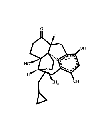 C[N@+]1(CC2CC2)C[C@@H](O)[C@]23c4c5c(O)cc(O)c4O[C@H]2C(=O)CC[C@@]3(O)[C@H]1C5